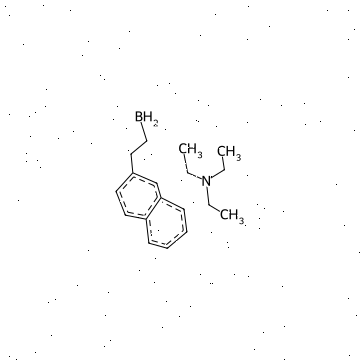 BCCc1ccc2ccccc2c1.CCN(CC)CC